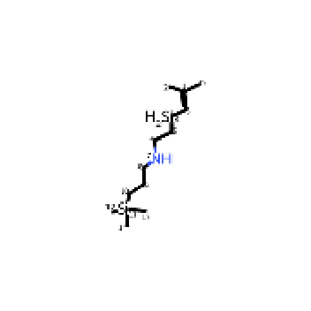 CC(C)=C[SiH2]CCNCCC[Si](C)(C)C